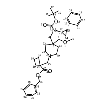 COCC1(CN(C(=O)OC(C)(C)C)[C@@H]2C[C@H]2c2ccccc2)CCN(CC2(C(=O)OCc3ccccc3)CCC2)CC1